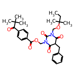 CCC(C)(C)OCN1C(=O)C(Cc2ccccc2)C(=O)N(COC(=O)c2ccc(C(=O)C(C)(C)C)cc2)C1=O